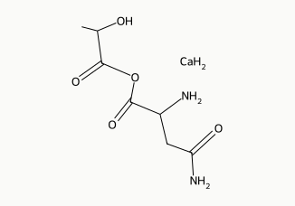 CC(O)C(=O)OC(=O)C(N)CC(N)=O.[CaH2]